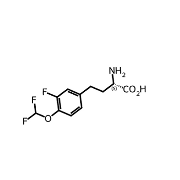 N[C@@H](CCc1ccc(OC(F)F)c(F)c1)C(=O)O